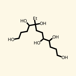 CCC(O)(CCC(O)C(O)CCCO)C(O)CCCO